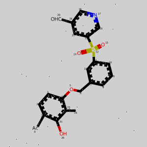 CC(=O)c1ccc(OCc2cccc(S(=O)(=O)c3cncc(C=O)c3)c2)c(C)c1O